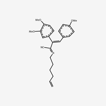 C=CCCCCN=C(C#N)C(=Cc1ccc(OC)cc1)c1ccc(OC)c(OC)c1